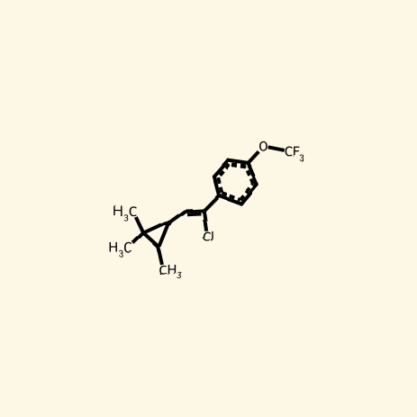 CC1C(C=C(Cl)c2ccc(OC(F)(F)F)cc2)C1(C)C